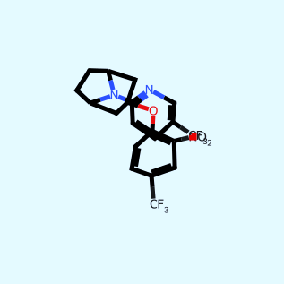 O=[N+]([O-])c1cc(C(F)(F)F)ccc1OC1CC2CCC(C1)N2c1ccc(C(F)(F)F)cn1